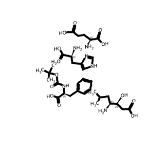 CC(C)(C)OC(=O)N[C@@H](Cc1ccccc1)C(=O)O.CC(C)C[C@H](N)[C@@H](O)CC(=O)O.N[C@@H](CCC(=O)O)C(=O)O.N[C@@H](Cc1c[nH]cn1)C(=O)O